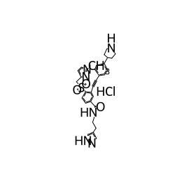 Cl.Cn1ccc(CS(=O)(=O)c2ccc(C(=O)NCCCc3cn[nH]c3)cc2C#Cc2ccc(C3CCNCC3)cc2)n1